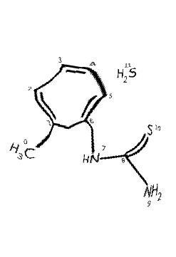 Cc1ccccc1NC(N)=S.S